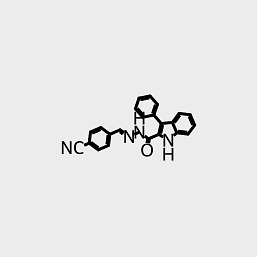 N#Cc1ccc(C=NNC(=O)c2[nH]c3ccccc3c2-c2ccccc2)cc1